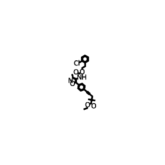 CCOC(=O)C(C)(C)CC#Cc1ccc(-c2onc(C)c2NC(=O)OCCc2ccccc2Cl)cc1